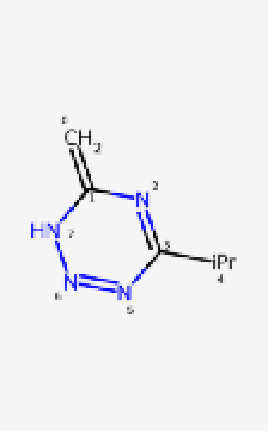 C=C1N=C(C(C)C)N=NN1